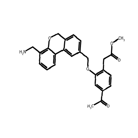 COC(=O)Cc1ccc(C(C)=O)cc1OCc1ccc2c(c1)-c1cccc(CN)c1OC2